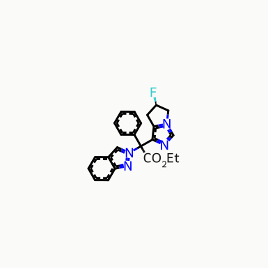 CCOC(=O)C(c1ccccc1)(c1ncn2c1C[C@@H](F)C2)n1cc2ccccc2n1